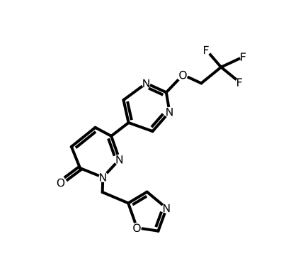 O=c1ccc(-c2cnc(OCC(F)(F)F)nc2)nn1Cc1cnco1